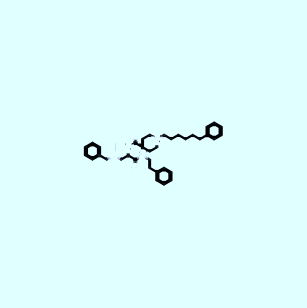 O=C1C(COCc2ccccc2)NC(=O)C2(CCN(CCCCCCc3ccccc3)CC2)N1CCc1ccccc1